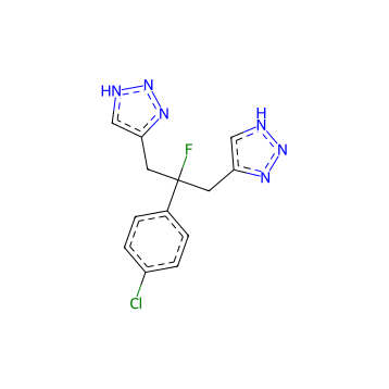 FC(Cc1c[nH]nn1)(Cc1c[nH]nn1)c1ccc(Cl)cc1